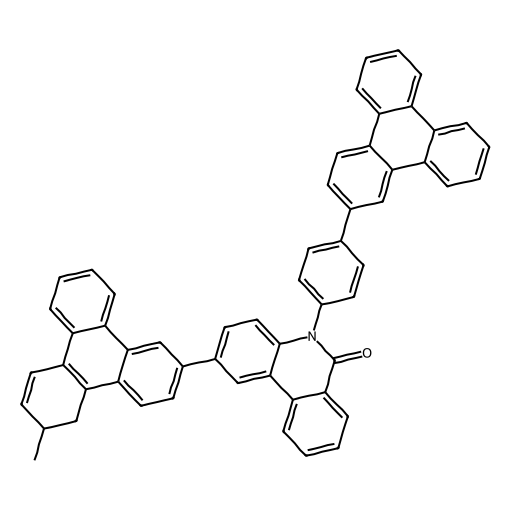 CC1C=Cc2c(c3ccc(-c4ccc5c(c4)c4ccccc4c(=O)n5-c4ccc(-c5ccc6c7ccccc7c7ccccc7c6c5)cc4)cc3c3ccccc23)C1